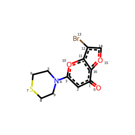 O=c1cc(N2CCSCC2)oc2c(Br)coc12